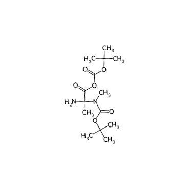 CN(C(=O)OC(C)(C)C)[C@@](C)(N)C(=O)OC(=O)OC(C)(C)C